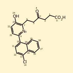 O=C(O)CCC(=O)CCc1nc(-c2ccc(Cl)c3ccccc23)ccc1O